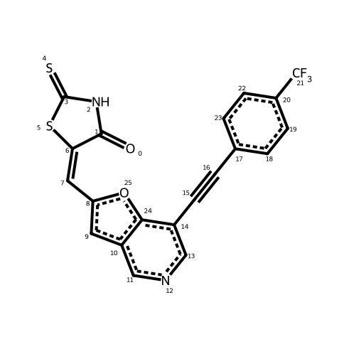 O=C1NC(=S)SC1=Cc1cc2cncc(C#Cc3ccc(C(F)(F)F)cc3)c2o1